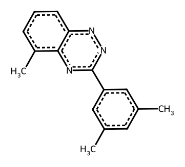 Cc1cc(C)cc(-c2nnc3cccc(C)c3n2)c1